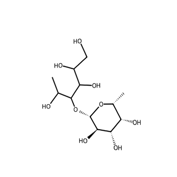 CC(O)C(O[C@@H]1O[C@H](C)[C@H](O)[C@H](O)[C@H]1O)C(O)C(O)CO